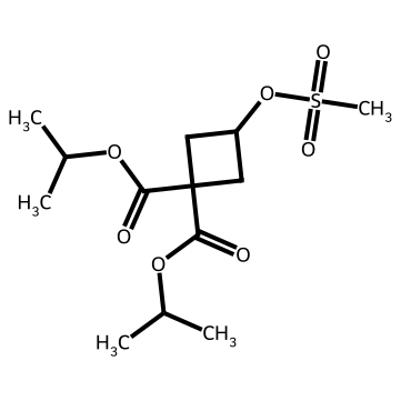 CC(C)OC(=O)C1(C(=O)OC(C)C)CC(OS(C)(=O)=O)C1